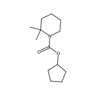 CC1(C)CCCCN1C(=O)OC1CCCC1